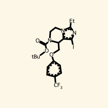 CCc1nc(I)c2n1CCN(C(=O)OC(C)(C)C)C2COc1ccc(C(F)(F)F)cc1